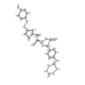 O=C(Nc1nnc(CCc2ccc(F)cc2)s1)[C@H]1CC(=O)N(c2ccc(CN3CCOCC3)cc2)C1